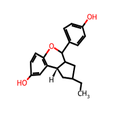 CCC1CC2C(c3ccc(O)cc3)Oc3ccc(O)cc3[C@H]2C1